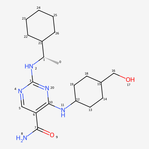 C[C@H](Nc1ncc(C(N)=O)c(NC2CCC(CO)CC2)n1)C1CCCCC1